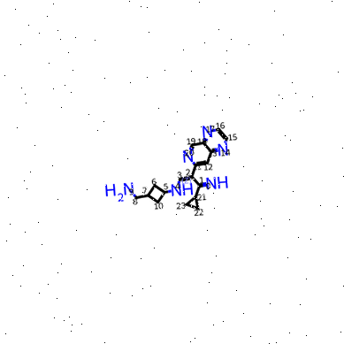 N=C(/C(=C\NC1CC(CN)C1)c1cc2nccnc2cn1)C1CC1